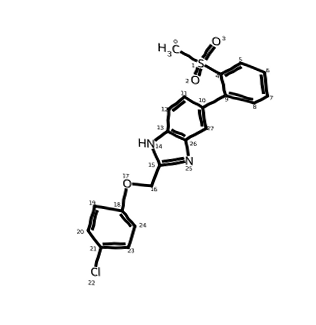 CS(=O)(=O)c1ccccc1-c1ccc2[nH]c(COc3ccc(Cl)cc3)nc2c1